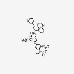 CCN1C(=O)C(C)(C)C(=O)N(C)c2cc(OCCCNC(CCc3cccnc3)c3cccc4ncccc34)ccc21.Cl.Cl.Cl